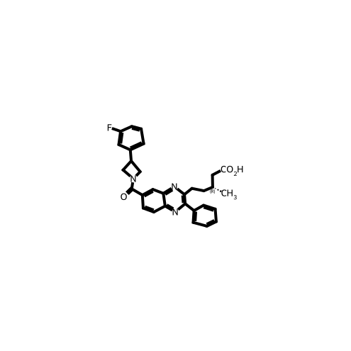 C[C@H](CCc1nc2cc(C(=O)N3CC(c4cccc(F)c4)C3)ccc2nc1-c1ccccc1)CC(=O)O